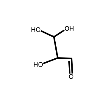 O=CC(O)[C](O)O